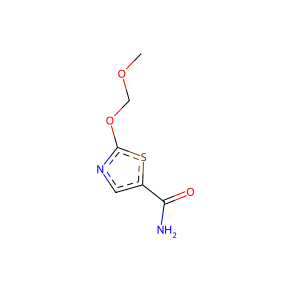 COCOc1ncc(C(N)=O)s1